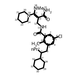 CCCC(Cc1cc(Cl)cc(C(=O)NC/C(C(N)=O)=C(/NC)N2CCCCC2)c1C)C1CCCCC1